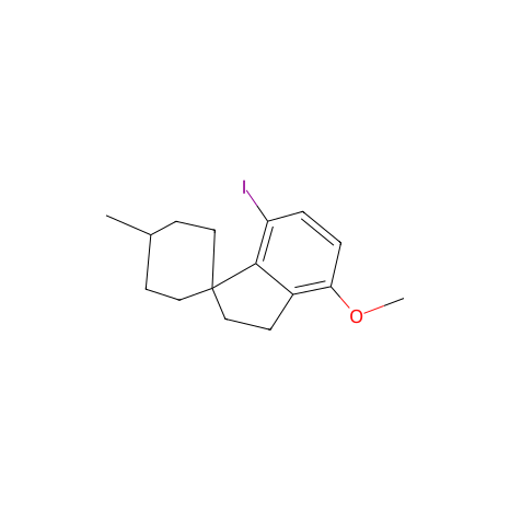 COc1ccc(I)c2c1CCC21CCC(C)CC1